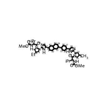 CC[C@@H]1C[C@@H](c2ncc(-c3ccc4cc(-c5ccc(-c6cnc([C@@H]7C[C@@H](C)CN7C(=O)C(NC(=O)OC)C(C)C)[nH]6)cc5)ccc4c3)[nH]2)N(C(=O)[C@@H](NC(=O)OC)C(C)C)C1